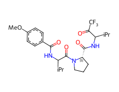 COc1ccc(C(=O)NC(C(=O)N2CCC[C@H]2C(=O)NC(C(=O)C(F)(F)F)C(C)C)C(C)C)cc1